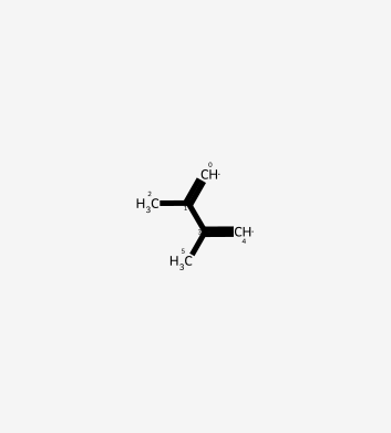 [CH]=C(C)C(=[CH])C